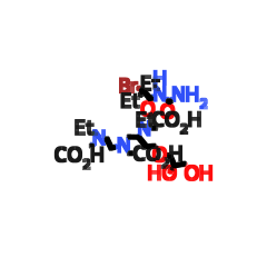 CCC(Br)(CC)C(=O)NC(N)=O.CCN(CCN(CC(=O)O)CC(CCOCC(O)CO)N(CC)CC(=O)O)CC(=O)O